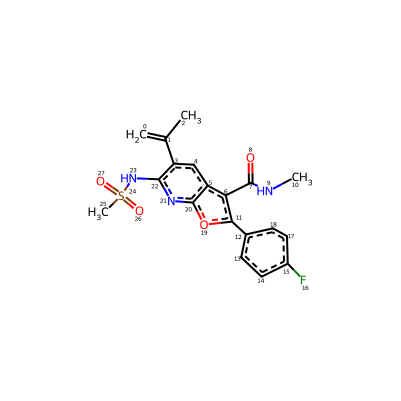 C=C(C)c1cc2c(C(=O)NC)c(-c3ccc(F)cc3)oc2nc1NS(C)(=O)=O